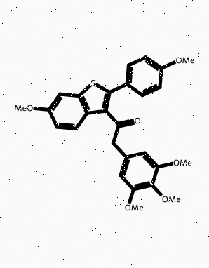 COc1ccc(-c2sc3cc(OC)ccc3c2C(=O)Cc2cc(OC)c(OC)c(OC)c2)cc1